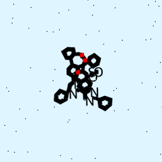 O=S1(=O)c2ccccc2C2(c3ccccc3-c3ccccc3-c3ccc(-c4cc(-c5ccccc5)nc(-c5cnc(-c6ccccc6)nc5)n4)cc32)c2ccc3ccccc3c21